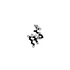 C1=NSCC1.CC(CBr)[N+](=O)[O-].N.N#CC(Br)(Br)C(N)=O.O=CCCCC=O